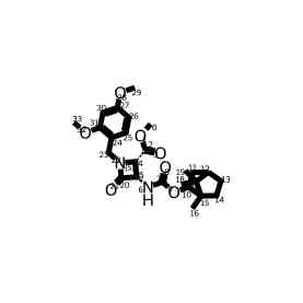 COC(=O)[C@@H]1[C@H](NC(=O)OC2CC3CCC2(C)C3(C)C)C(=O)N1Cc1ccc(OC)cc1OC